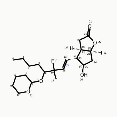 CCCCC(OC1CCCCO1)C(F)(F)/C=C/[C@@H]1[C@H]2CC(=O)O[C@H]2C[C@H]1O